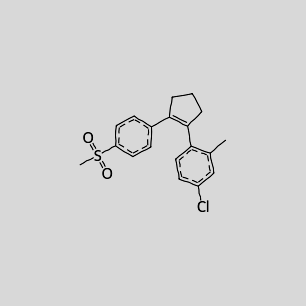 Cc1cc(Cl)ccc1C1=C(c2ccc(S(C)(=O)=O)cc2)CCC1